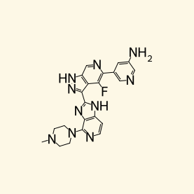 CN1CCN(c2nccc3[nH]c(-c4n[nH]c5cnc(-c6cncc(N)c6)c(F)c45)nc23)CC1